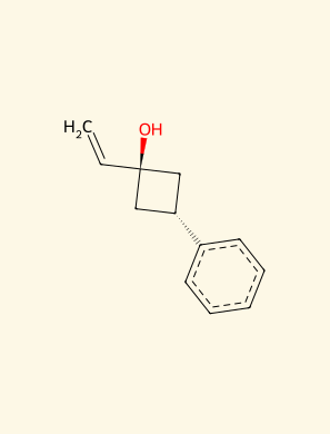 C=C[C@]1(O)C[C@H](c2ccccc2)C1